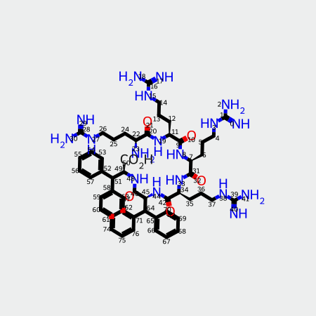 N=C(N)NCCC[C@H](NC(=O)[C@H](CCCNC(=N)N)NC(=O)[C@@H](N)CCCNC(=N)N)C(=O)N[C@@H](CCCNC(=N)N)C(=O)N[C@H](C(=O)N[C@H](C(=O)O)C(c1ccccc1)c1ccccc1)C(c1ccccc1)c1ccccc1